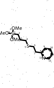 CO[Si](CCCSCCc1ccccn1)(OC)OC